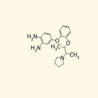 CC(Oc1ccccc1Oc1ccc(N)c(N)c1)C(C)N1CCCC1